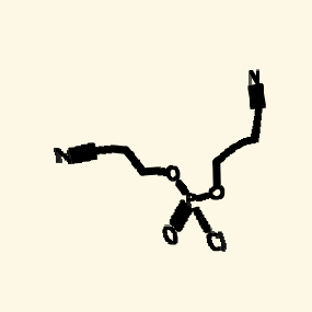 N#CCCOP(=O)(Cl)OCCC#N